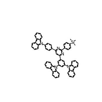 C[Si](C)(C)c1ccc(-c2nc(-c3ccc(-n4c5ccccc5c5ccccc54)cc3)cc(-c3cc(-n4c5ccccc5c5ccccc54)cc(-n4c5ccccc5c5ccccc54)c3)n2)cc1